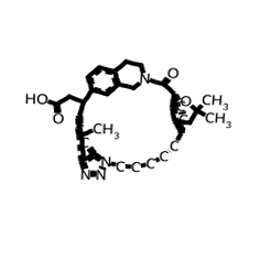 Cc1c2ccc3c1nnn3CCCCCc1ccc(c3c1CC(C)(C)O3)C(=O)N1CCc3ccc(cc3C1)C2CC(=O)O